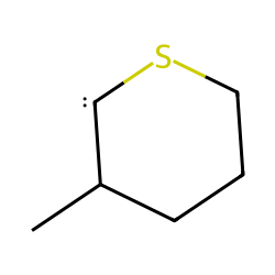 CC1[C]SCCC1